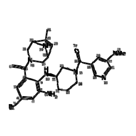 C=C(c1cc(Br)cc(N)c1N[C@@H]1CCCN(C(=O)c2cncc(NC)c2)C1)N1CC2C=C(C)C(C1)N2